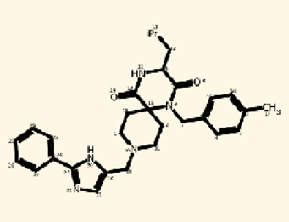 Cc1ccc(CN2C(=O)C(CC(C)C)NC(=O)C23CCN(Cc2cnc(-c4ccccc4)[nH]2)CC3)cc1